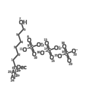 CCCCCCCCCCCCCCCCO.O=S(=O)([O-])[O-].O=S(=O)([O-])[O-].O=S(=O)([O-])[O-].[Al+3].[Al+3]